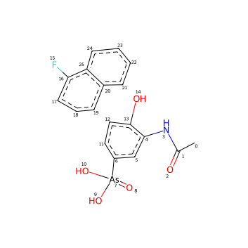 CC(=O)Nc1cc([As](=O)(O)O)ccc1O.Fc1cccc2ccccc12